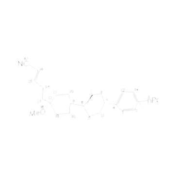 CCCc1ccc([C@H]2CC[C@H]([C@H]3CC[C@@](CCC=CC#N)(OC)CC3)CC2)cc1